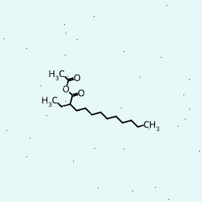 CCCCCCCCCCC(CC)C(=O)OC(C)=O